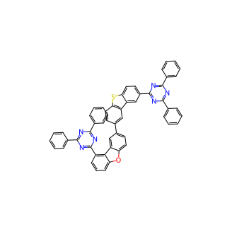 c1ccc(-c2nc(-c3ccccc3)nc(-c3ccc4sc5ccc(-c6ccc7oc8cccc(-c9nc(-c%10ccccc%10)nc(-c%10ccccc%10)n9)c8c7c6)cc5c4c3)n2)cc1